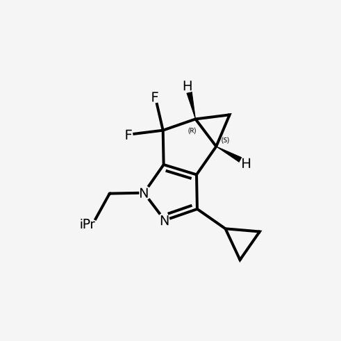 CC(C)Cn1nc(C2CC2)c2c1C(F)(F)[C@@H]1C[C@H]21